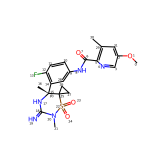 COc1cnc(C(=O)Nc2ccc(F)c([C@@]3(C)NC(=N)N(C)S(=O)(=O)C34CC4)c2)c(C)c1